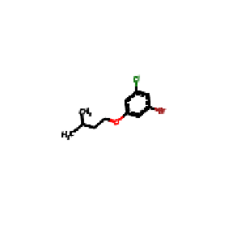 CC(C)CCOc1cc(Cl)cc(Br)c1